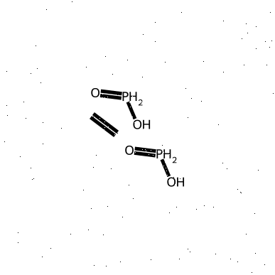 C=C.O=[PH2]O.O=[PH2]O